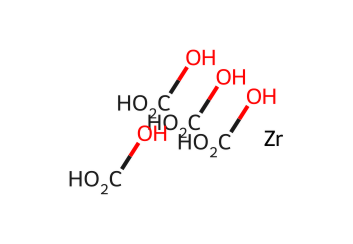 O=C(O)O.O=C(O)O.O=C(O)O.O=C(O)O.[Zr]